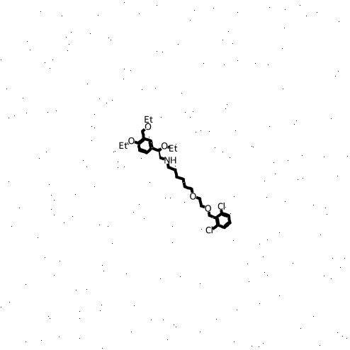 CCOCc1cc([C@H](CNCCCCCCOCCOCc2c(Cl)cccc2Cl)OCC)ccc1OCC